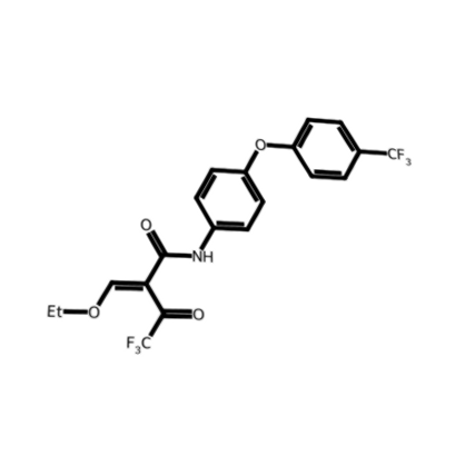 CCOC=C(C(=O)Nc1ccc(Oc2ccc(C(F)(F)F)cc2)cc1)C(=O)C(F)(F)F